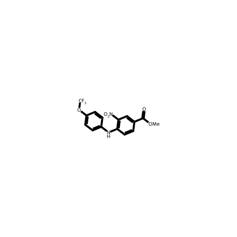 COC(=O)c1ccc(Nc2ccc(OC(F)(F)F)cc2)c([N+](=O)[O-])c1